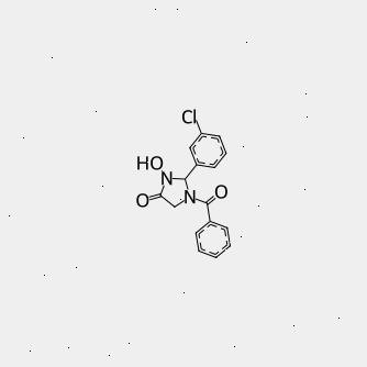 O=C1CN(C(=O)c2ccccc2)C(c2cccc(Cl)c2)N1O